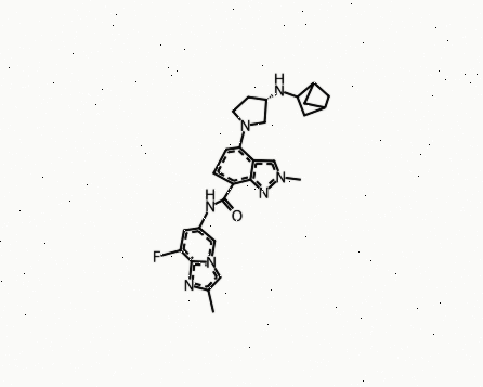 Cc1cn2cc(NC(=O)c3ccc(N4CC[C@H](NC5CC6CC5C6)C4)c4cn(C)nc34)cc(F)c2n1